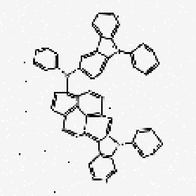 c1ccc(N(c2ccc3c(c2)c2ccccc2n3-c2ccccc2)c2ccc3ccc4c5c(ccc2c35)cc2c4c3ccncc3n2-c2ccccc2)cc1